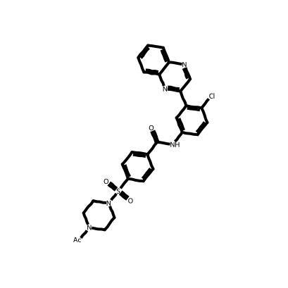 CC(=O)N1CCN(S(=O)(=O)c2ccc(C(=O)Nc3ccc(Cl)c(-c4cnc5ccccc5n4)c3)cc2)CC1